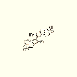 CC(C)c1cc2c(cc1-c1cc3c(cc1C(C)C)CCC1C(C)(C(=O)Cl)CCCC31C)C1(C)CCCC(C)(C(=O)Cl)C1CC2